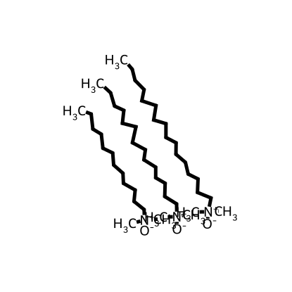 CCCCCCCCCCCCCCCC[N+](C)(C)[O-].CCCCCCCCCCCCCC[N+](C)(C)[O-].CCCCCCCCCCCC[N+](C)(C)[O-]